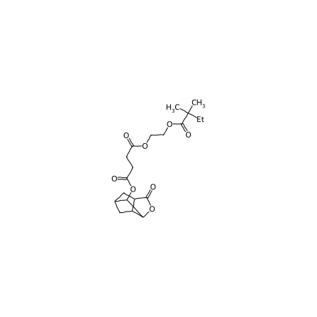 CCC(C)(C)C(=O)OCCOC(=O)CCC(=O)OC1C2CC3C(=O)OC1C3C2